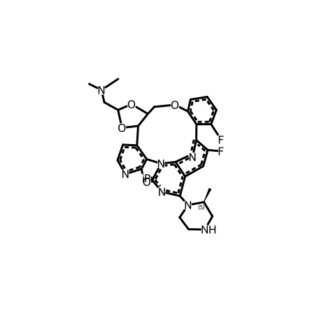 CC(C)c1nccc2c1-n1c(=O)nc(N3CCNC[C@@H]3C)c3cc(F)c(nc31)-c1c(F)cccc1OCC1OC(CN(C)C)OC21